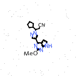 COc1nc(-c2cnn(C(CC#N)C3CCCC3)c2)c2cc[nH]c2n1